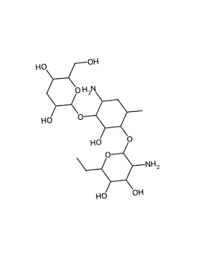 CCC1OC(OC2C(C)CC(N)C(OC3OC(CO)C(O)CC3O)C2O)C(N)C(O)C1O